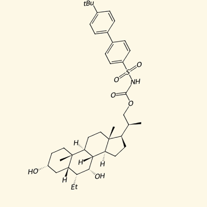 CC[C@H]1[C@@H](O)[C@@H]2[C@H](CC[C@]3(C)[C@@H]([C@H](C)COC(=O)NS(=O)(=O)c4ccc(-c5ccc(C(C)(C)C)cc5)cc4)CC[C@@H]23)[C@@]2(C)CC[C@@H](O)C[C@@H]12